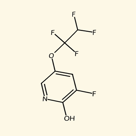 Oc1ncc(OC(F)(F)C(F)F)cc1F